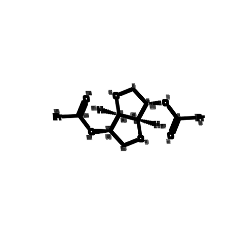 CC(C)C(=O)O[C@H]1CO[C@H]2[C@@H]1OC[C@H]2OC(=O)C(C)C